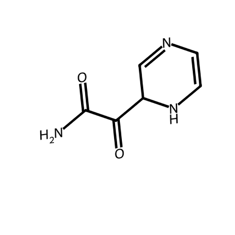 NC(=O)C(=O)C1C=NC=CN1